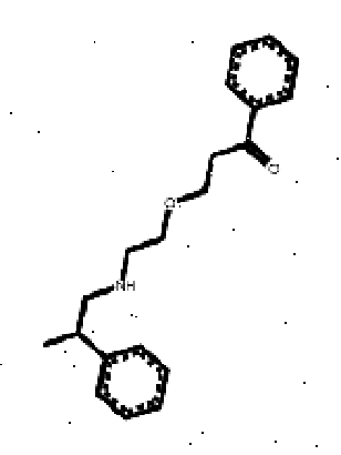 CC(CNCCOCCC(=O)c1ccccc1)c1ccccc1